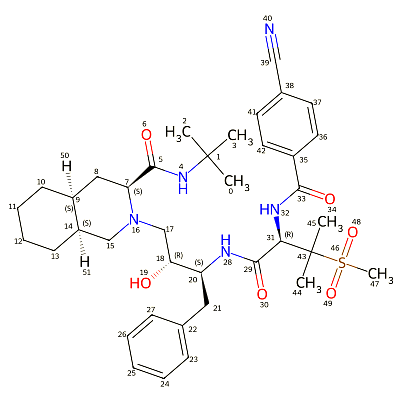 CC(C)(C)NC(=O)[C@@H]1C[C@@H]2CCCC[C@@H]2CN1C[C@@H](O)[C@H](Cc1ccccc1)NC(=O)[C@@H](NC(=O)c1ccc(C#N)cc1)C(C)(C)S(C)(=O)=O